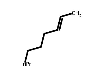 [CH2]C=CCCCCC[CH2]